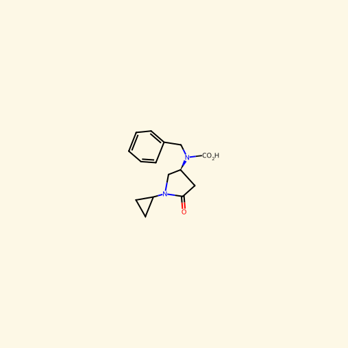 O=C1C[C@H](N(Cc2ccccc2)C(=O)O)CN1C1CC1